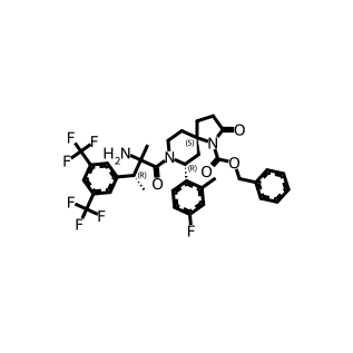 Cc1cc(F)ccc1[C@H]1C[C@]2(CCC(=O)N2C(=O)OCc2ccccc2)CCN1C(=O)C(C)(N)[C@H](C)c1cc(C(F)(F)F)cc(C(F)(F)F)c1